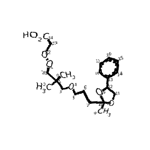 CC(C)(COCCCC1(C)OCC(c2ccccc2)O1)COOCC(=O)O